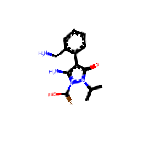 CC(C)n1c(=O)c(-c2ccccc2CN)c(N)n1C(O)=S